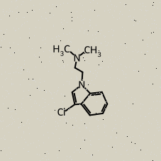 CN(C)CCn1cc(Cl)c2ccccc21